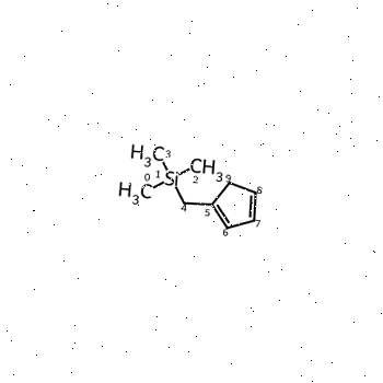 C[Si](C)(C)CC1=CC=CC1